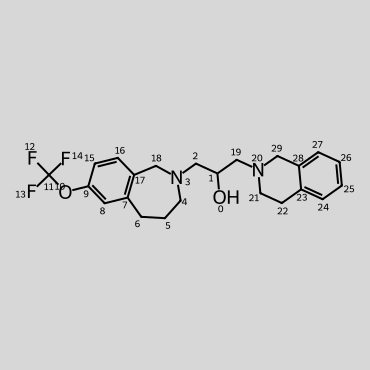 OC(CN1CCCc2cc(OC(F)(F)F)ccc2C1)CN1CCc2ccccc2C1